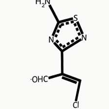 Nc1nc(C([C]=O)=CCl)ns1